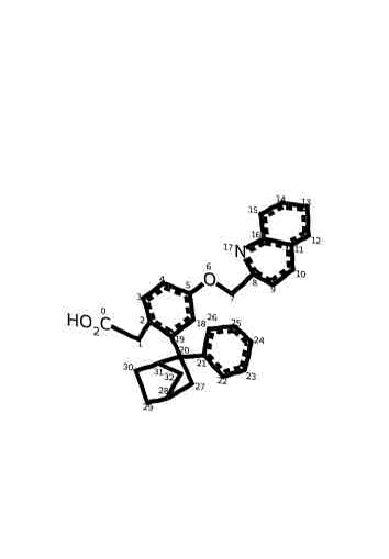 O=C(O)Cc1ccc(OCc2ccc3ccccc3n2)cc1C1(c2ccccc2)CC2CCC1C2